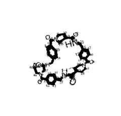 CC(=O)NCc1ccc(C(=O)N2CCC(C(=O)NCc3ccc(C(=O)N4CCC(C(=O)NCc5ccc(C(=O)N6CCOCC6)cc5)CC4)cc3)C2)cc1